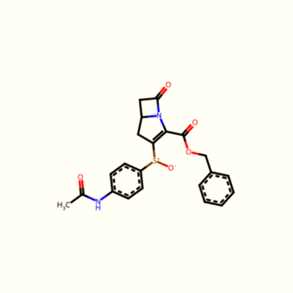 CC(=O)Nc1ccc([S+]([O-])C2=C(C(=O)OCc3ccccc3)N3C(=O)CC3C2)cc1